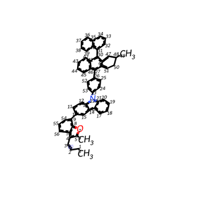 CC/C=C\c1c(C)oc2c(-c3ccc4c(c3)c3ccccc3n4-c3ccc(-c4c5c(c(-c6cccc7ccccc67)c6ccccc46)=CC(C)CC=5)cc3)cccc12